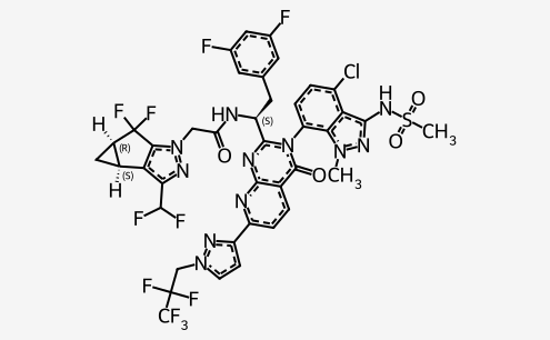 Cn1nc(NS(C)(=O)=O)c2c(Cl)ccc(-n3c([C@H](Cc4cc(F)cc(F)c4)NC(=O)Cn4nc(C(F)F)c5c4C(F)(F)[C@@H]4C[C@H]54)nc4nc(-c5ccn(CC(F)(F)C(F)(F)F)n5)ccc4c3=O)c21